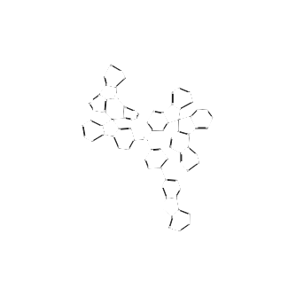 c1ccc2c(c1)-c1ccc(N(c3ccc(-c4ccc5c(c4)oc4ccccc45)cc3)c3ccc4c(c3)C3(c5ccccc5-4)c4ccccc4-n4c5ccccc5c5cccc3c54)cc1C21c2ccccc2-c2c1ccc1ccccc21